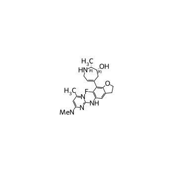 CNc1cc(C)nc(Nc2cc3c(c(C4=CCN[C@H](C)[C@H](O)C4)c2F)OCC3)n1